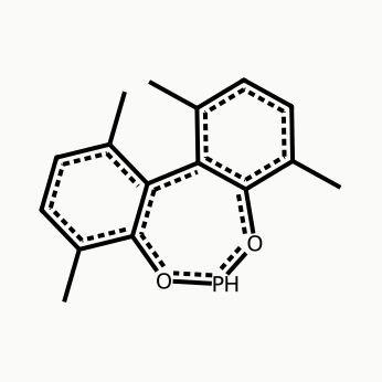 Cc1ccc(C)c2c1o[pH]oc1c(C)ccc(C)c12